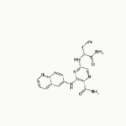 CC(C)CC(Nc1cnc(C(N)=O)c(Nc2ccc3ncccc3c2)n1)C(N)=O